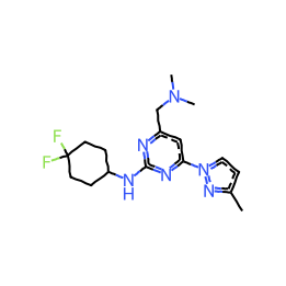 Cc1ccn(-c2cc(CN(C)C)nc(NC3CCC(F)(F)CC3)n2)n1